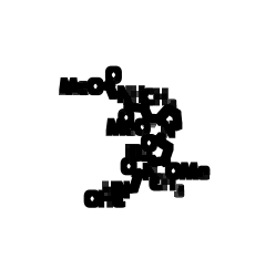 CCC(C)C(C(CC(=O)N1CCCC1[C@H](OC)C(C)C(=O)NCC(=O)OC)OC)N(C)C(=O)CNC=O